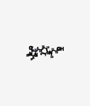 CC1=N/C(=C\c2ccc(N(C)CCO)cc2)C(=O)N1C